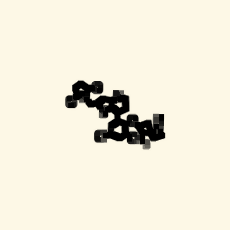 Cc1cc(Cl)cc(-c2ccnc3cc(CN4C(=O)CCC4=O)sc23)c1OC1CC2(CCN2)C1